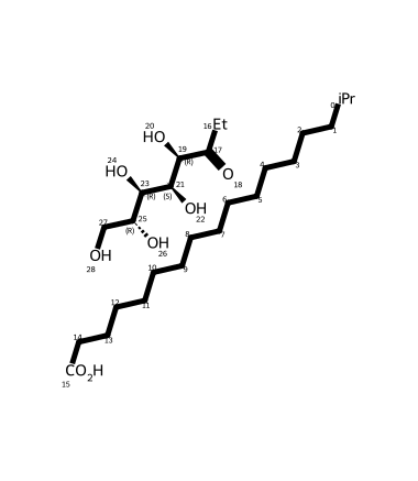 CC(C)CCCCCCCCCCCCCCC(=O)O.CCC(=O)[C@H](O)[C@@H](O)[C@H](O)[C@H](O)CO